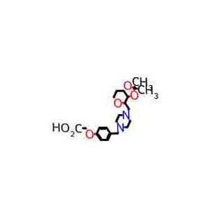 CC1(C)OC2CCOC(CN3CCN(Cc4ccc(OCC(=O)O)cc4)CC3)C2O1